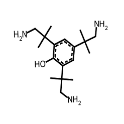 CC(C)(CN)c1cc(C(C)(C)CN)c(O)c(C(C)(C)CN)c1